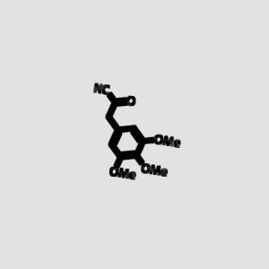 COc1cc(CC(=O)C#N)cc(OC)c1OC